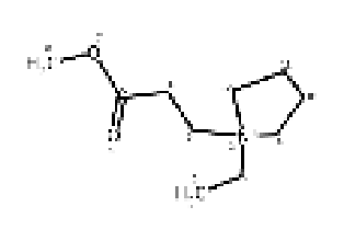 CC[N+]1(CCC(=O)OC)CCCC1